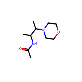 CC(=O)NC(C)C(C)N1CCOCC1